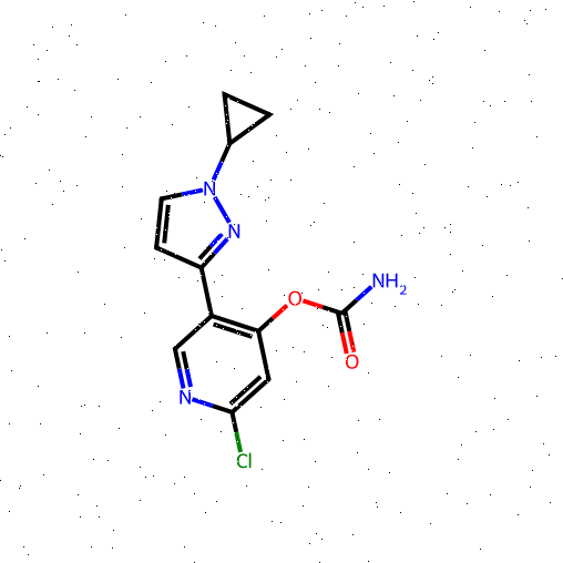 NC(=O)Oc1cc(Cl)ncc1-c1ccn(C2CC2)n1